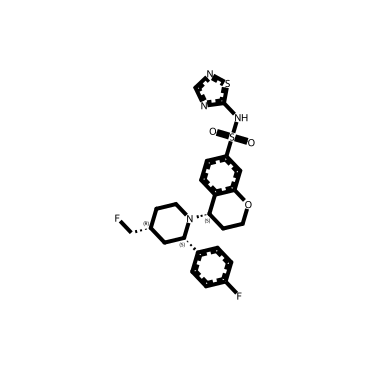 O=S(=O)(Nc1ncns1)c1ccc2c(c1)OCC[C@@H]2N1CC[C@@H](CF)C[C@H]1c1ccc(F)cc1